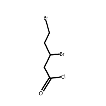 O=C(Cl)CC(Br)CCBr